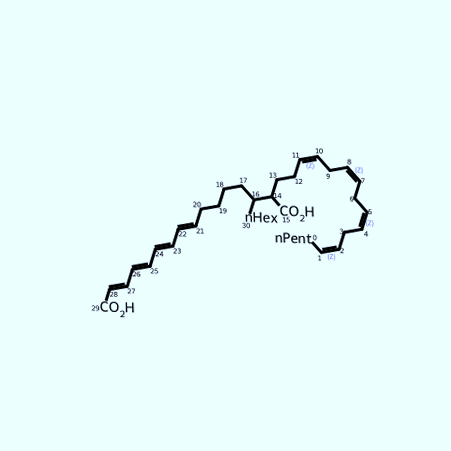 CCCCC/C=C\C/C=C\C/C=C\C/C=C\CCC(C(=O)O)C(CCCCC=CC=CC=CC=CC(=O)O)CCCCCC